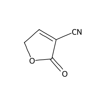 N#CC1=CCOC1=O